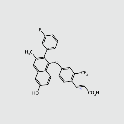 Cc1cc2cc(O)ccc2c(Oc2ccc(/C=C/C(=O)O)c(C(F)(F)F)c2)c1-c1cccc(F)c1